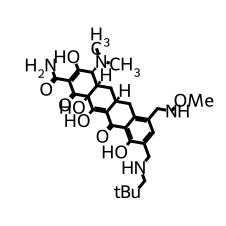 CONCc1cc(CNCC(C)(C)C)c(O)c2c1C[C@H]1C[C@H]3[C@H](N(C)C)C(O)=C(C(N)=O)C(=O)[C@@]3(O)C(O)=C1C2=O